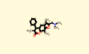 Cc1c(-c2ccccc2)c2cc3c(C)c(CN(C)C)oc3c(C)c2oc1=O